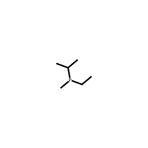 CCP(C)C(C)C